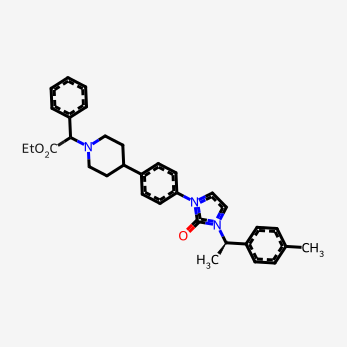 CCOC(=O)C(c1ccccc1)N1CCC(c2ccc(-n3ccn([C@H](C)c4ccc(C)cc4)c3=O)cc2)CC1